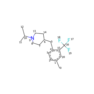 Cc1ccc(CC2CCN(C(C)C)CC2)c(C(F)(F)F)c1